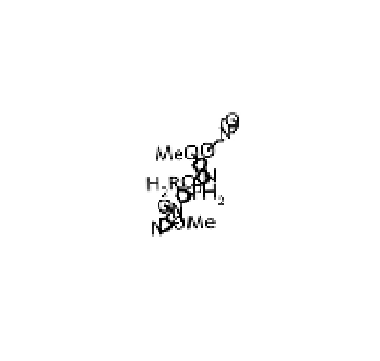 COc1cc2c(Oc3c(P)cc(N(I)C(=O)c4cnccc4OC)cc3P)ccnc2cc1OCCCN1CCOCC1